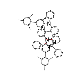 Cc1cc(C)c(-c2ccc3c(c2)c2ccccc2n3-c2cccnc2-c2c(-c3nc(-c4ccccc4)nc(-c4ccccc4)n3)cccc2-n2c3ccccc3c3cc(-c4c(C)cc(C)cc4C)ccc32)c(C)c1